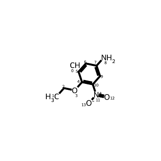 C.CCOc1ccc(N)cc1[N+](=O)[O-]